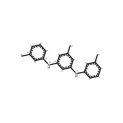 Cc1cccc(Nc2cc(C)cc(Nc3cccc(C)c3)c2)c1